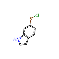 ClSc1ccc2cc[nH]c2c1